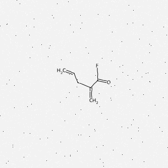 C=CCC(=C)C(=O)F